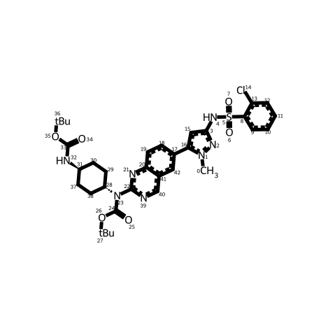 Cn1nc(NS(=O)(=O)c2ccccc2Cl)cc1-c1ccc2nc(N(C(=O)OC(C)(C)C)[C@H]3CC[C@H](NC(=O)OC(C)(C)C)CC3)ncc2c1